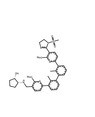 COc1nc(-c2cccc(-c3cccc(-c4ccc(C5=NCCN5S(C)(=O)=O)c(OC)n4)c3C)c2C)ccc1CN[C@@H]1CCC[C@@H]1O